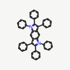 c1ccc(-c2c(-c3ccccc3)n(-c3ccccc3)c3cc4c(-c5ccccc5)c(-c5ccccc5)n(-c5ccccc5)c4cc23)cc1